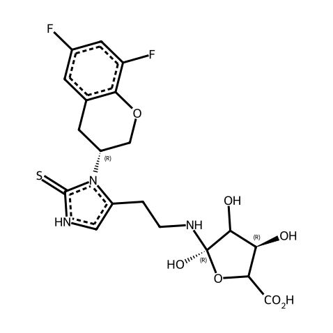 O=C(O)C1O[C@@](O)(NCCc2c[nH]c(=S)n2[C@H]2COc3c(F)cc(F)cc3C2)C(O)[C@H]1O